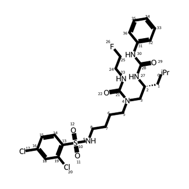 CC(C)C[C@H](CN(CCCCNS(=O)(=O)c1ccc(Cl)cc1Cl)C(=O)NCCF)NC(=O)Nc1ccccc1